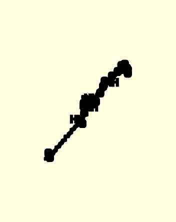 CC(C)(C)OC(=O)CCCCCCCCCCCCCCCCCCC(=O)NCC1CCC(C(=O)N[C@@H](CCC(=O)NCCOCCOCC(=O)NCCOCCOCC(=O)ON2C(=O)CCC2=O)C(=O)OC(C)(C)C)CC1